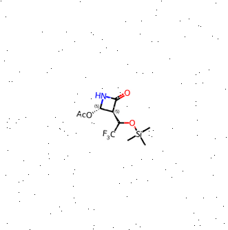 CC(=O)O[C@@H]1NC(=O)[C@H]1C(O[Si](C)(C)C)C(F)(F)F